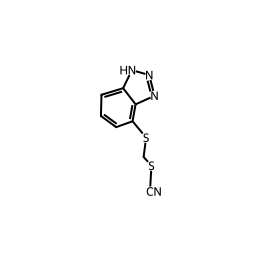 N#CSCSc1cccc2[nH]nnc12